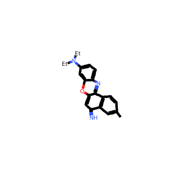 CCN(CC)c1ccc2nc3c4ccc(C)cc4c(=N)cc-3oc2c1